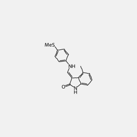 CSc1ccc(N/C=C2/C(=O)Nc3cccc(C)c32)cc1